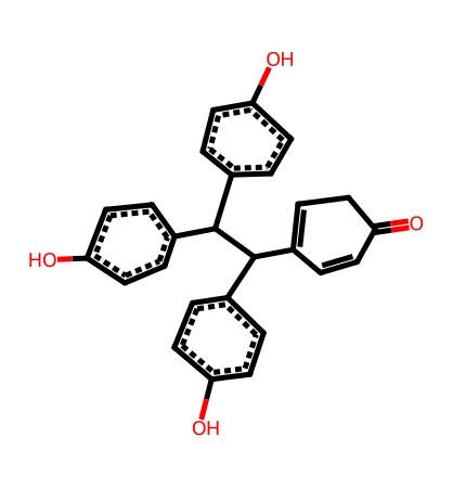 O=C1C=CC(C(c2ccc(O)cc2)C(c2ccc(O)cc2)c2ccc(O)cc2)=CC1